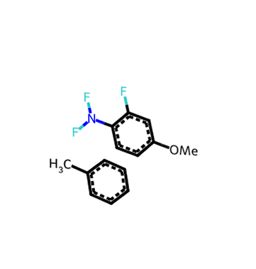 COc1ccc(N(F)F)c(F)c1.Cc1ccccc1